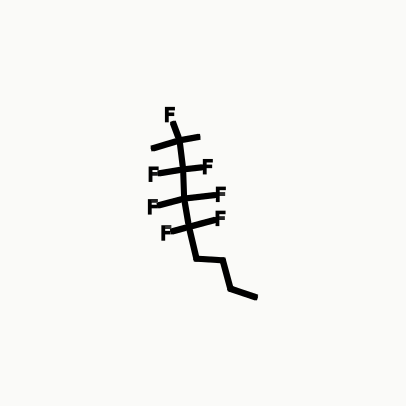 CCCCC(F)(F)C(F)(F)C(F)(F)C(C)(C)F